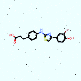 O=C(O)CCc1ccc(Nc2nc(-c3ccc(O)c(Br)c3)cs2)cc1